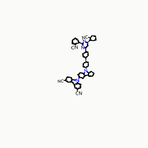 N#Cc1ccc2c(c1)c1cc(C#N)ccc1n2-c1ccc2c(c1)c1ccccc1n2-c1ccc(-c2ccc(-c3cc(-c4ccccc4C#N)nc(-c4ccccc4C#N)n3)cc2)cc1